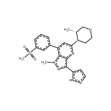 C[C@@H]1COCCN1c1cc(-c2cccc(S(C)(=O)=O)c2)c2c(n1)c(-c1ccn[nH]1)nn2C